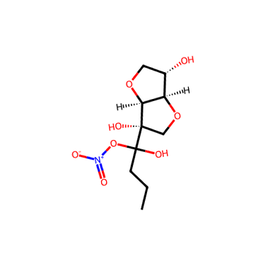 CCCC(O)(O[N+](=O)[O-])[C@]1(O)CO[C@@H]2[C@@H](O)CO[C@@H]21